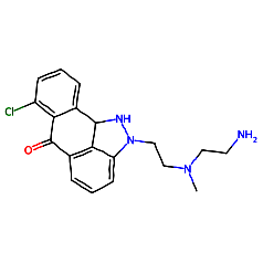 CN(CCN)CCN1NC2c3cccc(Cl)c3C(=O)c3cccc1c32